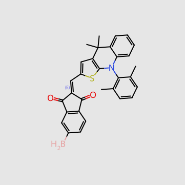 Bc1ccc2c(c1)C(=O)/C(=C/c1cc3c(s1)N(c1c(C)cccc1C)c1ccccc1C3(C)C)C2=O